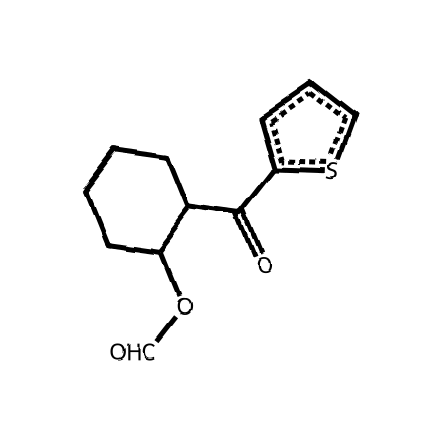 O=COC1CCCCC1C(=O)c1cccs1